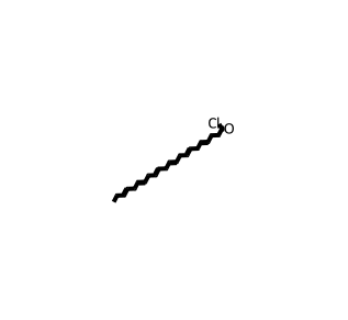 CCC=CCC=CCC=CCC=CCC=CCC=CCCC(=O)Cl